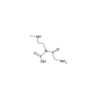 CNCCN(C(=O)O)C(=O)CN